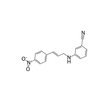 N#Cc1cccc(NCC=Cc2ccc([N+](=O)[O-])cc2)c1